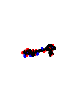 CCC(C)(C)C(=O)C(=O)N1CCCC[C@H]1C(=O)O[C@H](CCc1ccc(OC)c(OC)c1)c1cccc(OCC(=O)NCCCCCCNC(=O)COc2c(OC)cc(/N=N\c3cccc4c3CN(C3CCC(=O)NC3=O)C4=O)cc2OC)c1